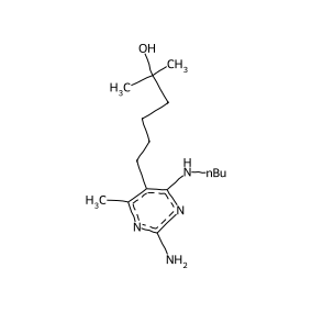 CCCCNc1nc(N)nc(C)c1CCCCC(C)(C)O